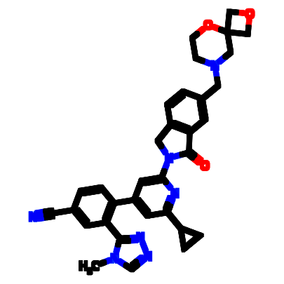 Cn1cnnc1-c1cc(C#N)ccc1-c1cc(C2CC2)nc(N2Cc3ccc(CN4CCOC5(COC5)C4)cc3C2=O)c1